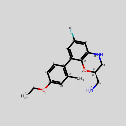 CCOc1ccc(-c2cc(F)cc3c2O[C@H](CN)CN3)c(C)c1